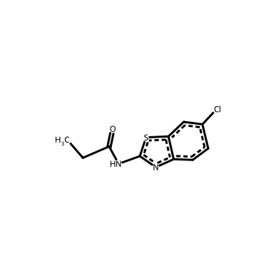 CCC(=O)Nc1nc2ccc(Cl)cc2s1